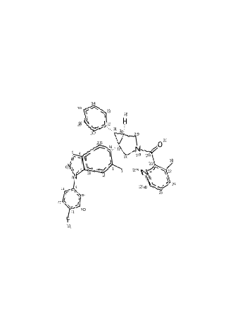 Cc1cc2c(cnn2-c2ccc(F)cc2)cc1[C@@]12CN(C(=O)c3ncccc3C)C[C@@H]1[C@H]2c1ccccc1